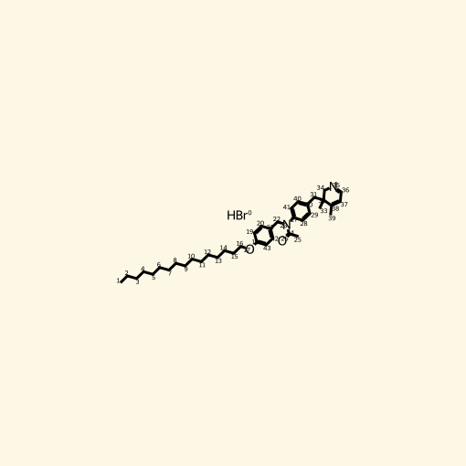 Br.CCCCCCCCCCCCCCCCOc1ccc(CN(C(C)=O)c2ccc(CC3(C)CN=CC=C3C)cc2)cc1